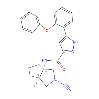 C[C@]12CCC[C@@]1(NC(=O)c1cc(-c3ccccc3Oc3ccccc3)[nH]n1)CN(C#N)C2